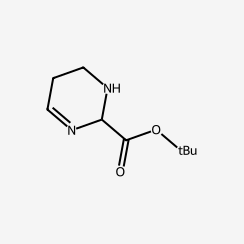 CC(C)(C)OC(=O)C1N=CCCN1